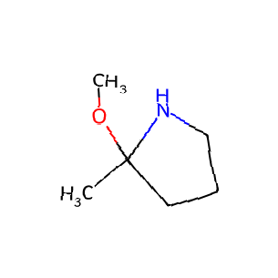 COC1(C)CCCN1